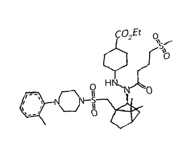 CCOC(=O)C1CCC(NN(C(=O)CCCS(C)(=O)=O)[C@H]2CC3CCC2(CS(=O)(=O)N2CCN(c4ccccc4C)CC2)C3(C)C)CC1